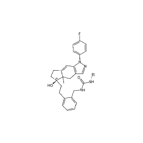 CCNC(=O)NCc1ccccc1CC[C@]1(O)CCC2=Cc3c(cnn3-c3ccc(F)cc3)CC21C